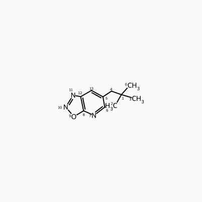 CC(C)(C)Cc1cnc2onnc2c1